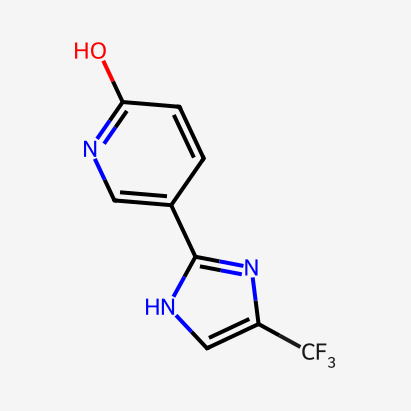 Oc1ccc(-c2nc(C(F)(F)F)c[nH]2)cn1